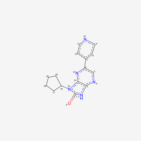 O=c1[nH]c2ncc(-c3ccncc3)nc2n1C1CCCC1